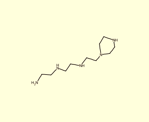 NCCNCCNCCN1CCNCC1